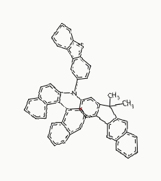 CC1(C)c2cc(N(c3ccc4sc5ccccc5c4c3)c3ccc4ccccc4c3-c3cccc4ccccc34)ccc2-c2cc3ccccc3cc21